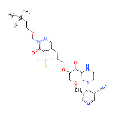 COCC(OCCCc1cnn(COCC[Si](C)(C)C)c(=O)c1C(F)(F)F)C(=O)C1CN(c2ccncc2C#N)CCN1